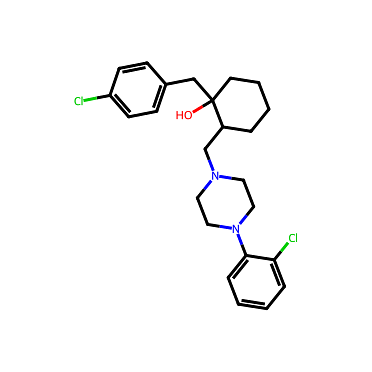 OC1(Cc2ccc(Cl)cc2)CCCCC1CN1CCN(c2ccccc2Cl)CC1